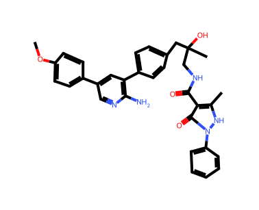 COc1ccc(-c2cnc(N)c(-c3ccc(CC(C)(O)CNC(=O)c4c(C)[nH]n(-c5ccccc5)c4=O)cc3)c2)cc1